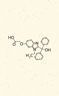 CCn1c(C(O)(c2ccccc2)c2ccccc2)nc2ccc(OCC(=O)O)cc21